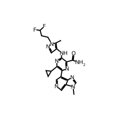 Cc1c(Nc2nc(C3CC3)c(-c3cncc4c3ncn4C)nc2C(N)=O)cnn1CCC(F)F